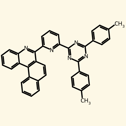 Cc1ccc(-c2nc(-c3ccc(C)cc3)nc(-c3cccc(-c4nc5ccccc5c5c4ccc4ccccc45)n3)n2)cc1